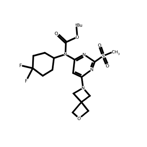 CC(C)(C)OC(=O)N(c1cc(N2CC3(COC3)C2)nc(S(C)(=O)=O)n1)C1CCC(F)(F)CC1